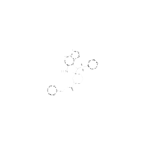 CC1(N(c2c(N)cnc3[nH]ccc23)S(=O)(=O)c2ccccc2)CCCN(C(=O)OCc2ccccc2)C1